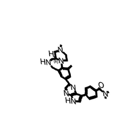 Cc1cc(-c2cnc3[nH]cc(-c4ccc(C(=O)N(C)C)cc4)c3n2)cc2c1N1CCN(C)C[C@H]1CNC2